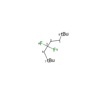 CC(C)(C)CCC(F)(F)CC(C)(C)C